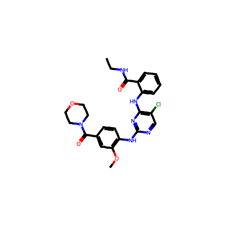 CCNC(=O)c1ccccc1Nc1nc(Nc2ccc(C(=O)N3CCOCC3)cc2OC)ncc1Cl